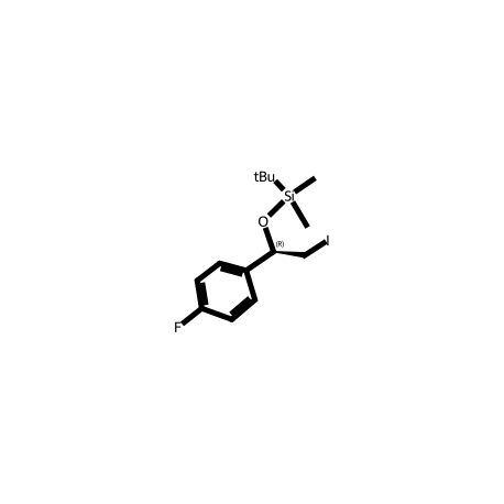 CC(C)(C)[Si](C)(C)O[C@@H](CI)c1ccc(F)cc1